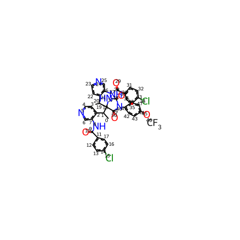 CC(c1ccncc1NC(=O)c1ccc(Cl)cc1)C1(C(C)c2ccncc2NC(=O)c2ccc(Cl)cc2)NC(=O)N(c2ccc(OC(F)(F)F)cc2)C1=O